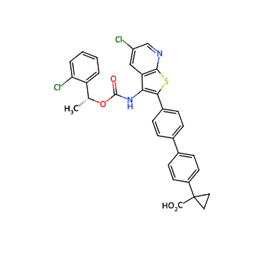 C[C@@H](OC(=O)Nc1c(-c2ccc(-c3ccc(C4(C(=O)O)CC4)cc3)cc2)sc2ncc(Cl)cc12)c1ccccc1Cl